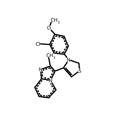 COc1ccc(N2CSC=C2c2c(C)nc3ccccn23)cc1Cl